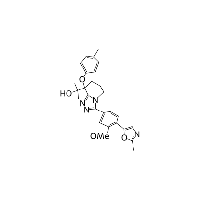 COc1cc(-c2nnc3n2CCCC3(Oc2ccc(C)cc2)C(C)(C)O)ccc1-c1cnc(C)o1